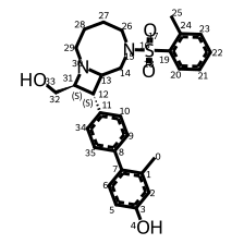 Cc1cc(O)ccc1-c1ccc([C@H]2C3CN(S(=O)(=O)c4ccccc4C)CCCCN3[C@@H]2CO)cc1